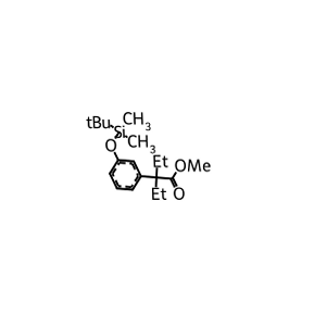 CCC(CC)(C(=O)OC)c1cccc(O[Si](C)(C)C(C)(C)C)c1